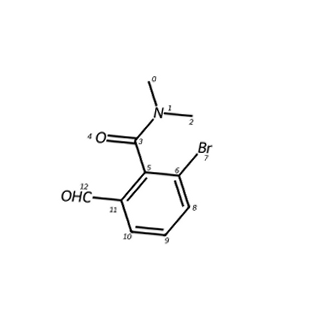 CN(C)C(=O)c1c(Br)cccc1C=O